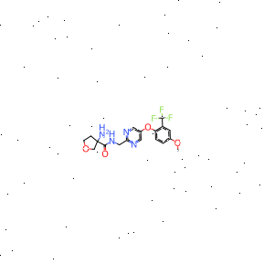 COc1ccc(Oc2cnc(CNC(=O)C3(N)CCOC3)nc2)c(C(F)(F)F)c1